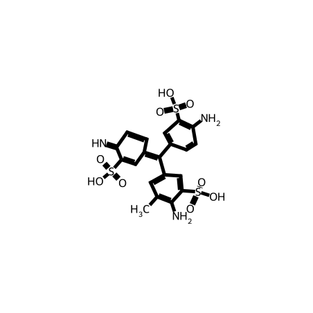 Cc1cc(C(=C2C=CC(=N)C(S(=O)(=O)O)=C2)c2ccc(N)c(S(=O)(=O)O)c2)cc(S(=O)(=O)O)c1N